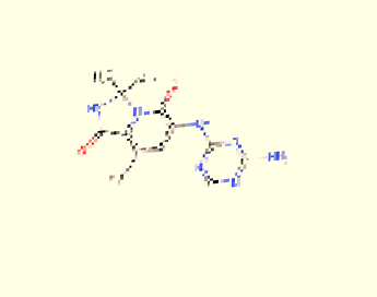 Cc1cc(Nc2ncnc(N)n2)c(=O)n2c1C(=O)NC2(C)C